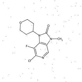 Cn1c(=O)n(C2CCOCC2)c2c(F)c(Cl)ncc21